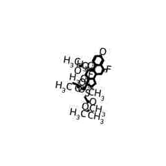 CCC(=O)O[C@]1(C(=O)SCC(=O)OC(C)(C)C)[C@H](C)CC2C3C[C@H](F)C4=CC(=O)C=C[C@]4(C)[C@@]3(F)[C@@H](OC(C)=O)C[C@@]21C